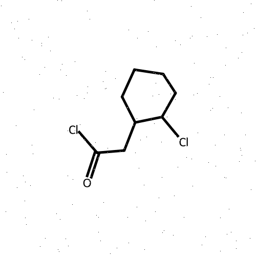 O=C(Cl)CC1CCCCC1Cl